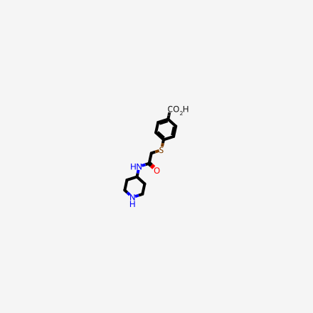 O=C(CSc1ccc(C(=O)O)cc1)NC1CCNCC1